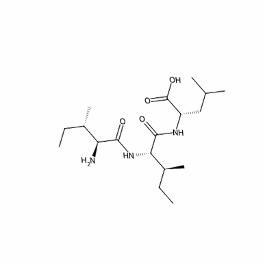 CC[C@H](C)[C@H](N)C(=O)N[C@H](C(=O)N[C@@H](CC(C)C)C(=O)O)[C@@H](C)CC